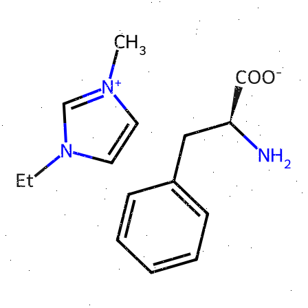 CCn1cc[n+](C)c1.N[C@@H](Cc1ccccc1)C(=O)[O-]